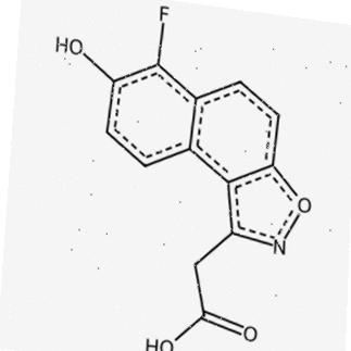 O=C(O)Cc1noc2ccc3c(F)c(O)ccc3c12